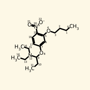 CCCCOc1cc(OC(CC)N(CC)CC)ccc1[N+](=O)[O-]